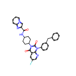 O=C(NC1CCC(n2c(=O)c3cc(F)cnc3n(-c3cccc(Cc4ccccc4)c3)c2=O)CC1)c1cn2ccccc2n1